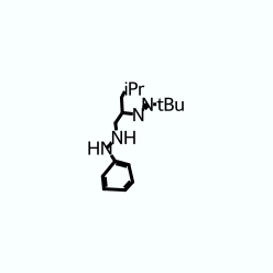 CC(C)CC(CNNc1ccccc1)N=NC(C)(C)C